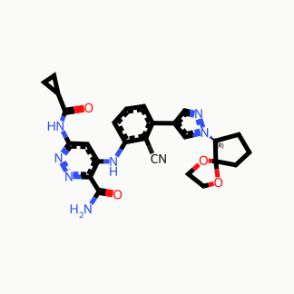 N#Cc1c(Nc2cc(NC(=O)C3CC3)nnc2C(N)=O)cccc1-c1cnn([C@@H]2CCCC23OCCO3)c1